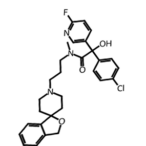 CN(CCCN1CCC2(CC1)OCc1ccccc12)C(=O)C(O)(c1ccc(Cl)cc1)c1ccc(F)nc1